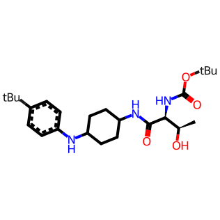 C[C@@H](O)[C@H](NC(=O)OC(C)(C)C)C(=O)NC1CCC(Nc2ccc(C(C)(C)C)cc2)CC1